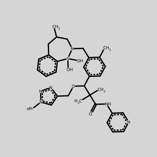 CCCn1cc(COC(c2ccc(C)c(CN3CC(C)Cc4ccccc4S3(O)O)c2)C(C)(C)C(=O)Nc2cccnc2)nn1